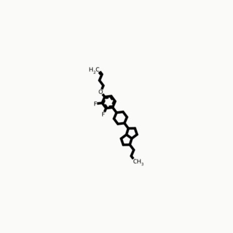 C=CCCOc1ccc(C2CCC(C3CCC4C(CCC)CCC34)CC2)c(F)c1F